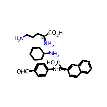 CC(=O)Nc1ccc(C=O)cc1.NC1CCCCC1.NCCC[C@H](N)C(=O)O.O=C(O)Cc1ccc2ccccc2c1